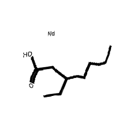 CCCCC(CC)CC(=O)O.[Nd]